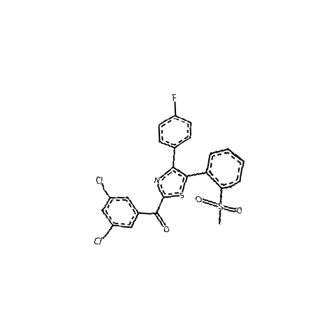 CS(=O)(=O)c1ccccc1-c1sc(C(=O)c2cc(Cl)cc(Cl)c2)nc1-c1ccc(F)cc1